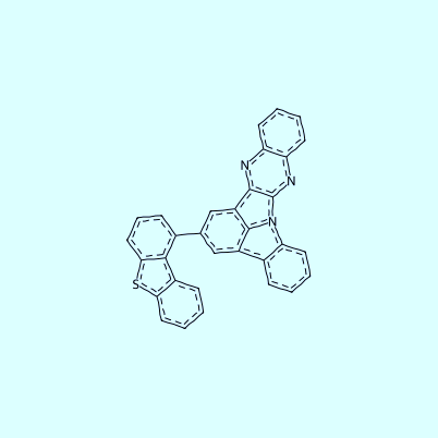 c1ccc2nc3c(nc2c1)c1cc(-c2cccc4sc5ccccc5c24)cc2c4ccccc4n3c21